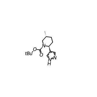 C[C@@H]1CC[C@@H](c2cn[nH]c2)N(C(=O)OC(C)(C)C)C1